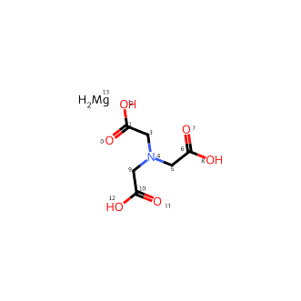 O=C(O)CN(CC(=O)O)CC(=O)O.[MgH2]